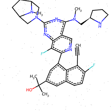 C#Cc1c(F)ccc2cc(C(C)(C)O)cc(-c3ncc4c(N(C)C[C@H]5CCCN5)nc(N5CC6CCC(C5)N6C)nc4c3F)c12